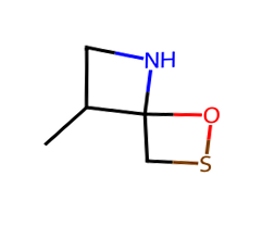 CC1CNC12CSO2